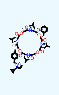 CC(C)C[C@H]1C(=O)O[C@H](Cc2ccc(Cn3nccc3C3CC3)cc2)C(=O)N(C)[C@@H](CC(C)C)C(=O)O[C@H](C)C(=O)N(C)[C@@H](CC(C)C)C(=O)O[C@H](Cc2ccccc2)C(=O)N(C)[C@@H](CC(C)C)C(=O)O[C@H](C)C(=O)N1C